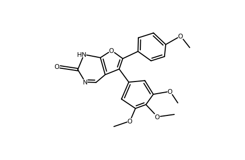 COc1ccc(-c2oc3[nH]c(=O)ncc3c2-c2cc(OC)c(OC)c(OC)c2)cc1